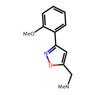 CNCc1cc(-c2ccccc2OC)no1